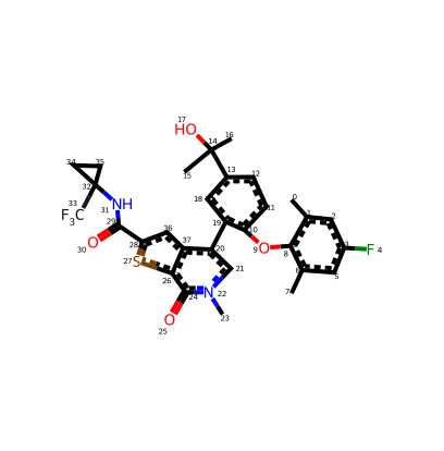 Cc1cc(F)cc(C)c1Oc1ccc(C(C)(C)O)cc1-c1cn(C)c(=O)c2sc(C(=O)NC3(C(F)(F)F)CC3)cc12